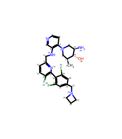 C[C@H]1CN(c2ccncc2NCc2ccc(F)c(-c3c(F)cc(CN4CCC4)cc3F)n2)C[C@@H](N)[C@@H]1O